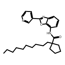 CCCCCCCCCCC1(C(=O)Nc2cccc3nc(-c4cccnc4)oc23)CCCC1